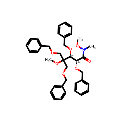 CON(C)C(=O)[C@H](OCc1ccccc1)[C@H](OCc1ccccc1)C(COCc1ccccc1)(COCc1ccccc1)OC